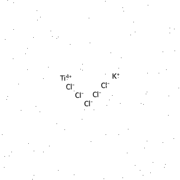 [Cl-].[Cl-].[Cl-].[Cl-].[Cl-].[K+].[Ti+4]